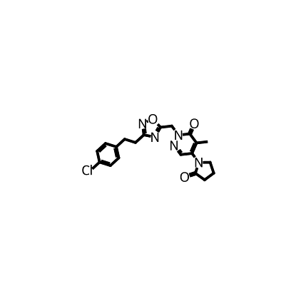 Cc1c(N2CCCC2=O)cnn(Cc2nc(CCc3ccc(Cl)cc3)no2)c1=O